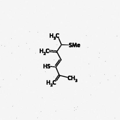 C=C(C)C(S)=CC(=C)C(C)SC